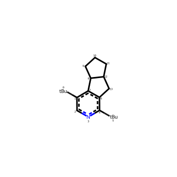 CC(C)(C)c1cnc(C(C)(C)C)c2c1C1CCCC1C2